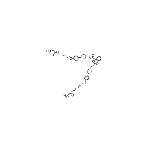 C=CC(=O)OCCCCCCOc1ccc(C2CCC(CCC(=O)Oc3ccccc3OC(=O)CCC3CCC(c4ccc(OCCCCCCOC(=O)C=C)cc4)CC3)CC2)cc1